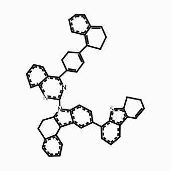 C1=Cc2c(sc3c(-c4ccc5c(c4)c4c(n5-c5nc(C6=CC=C(C7=c8ccccc8=CCC7)CC6)c6ccccc6n5)CCc5ccccc5-4)cccc23)CC1